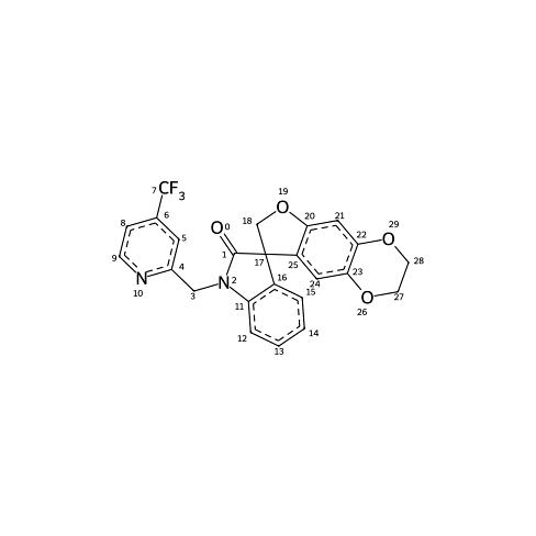 O=C1N(Cc2cc(C(F)(F)F)ccn2)c2ccccc2C12COc1cc3c(cc12)OCCO3